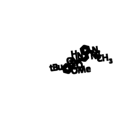 COc1ccc(C(C)(C)C)cc1S(=O)(=O)NC(=O)c1ccc2c(-c3ncn(C)n3)cccc2n1